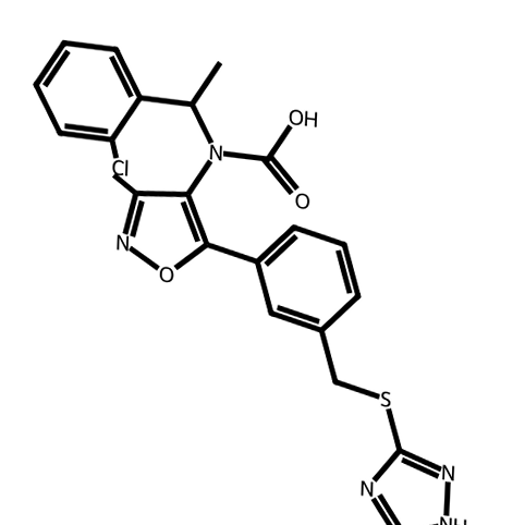 Cc1noc(-c2cccc(CSc3nc[nH]n3)c2)c1N(C(=O)O)C(C)c1ccccc1Cl